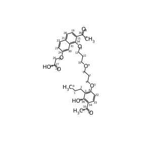 CCCc1c(OCCCOCCCOc2c(C(C)=O)ccc3ccc(OCC(=O)O)cc23)ccc(C(C)=O)c1O